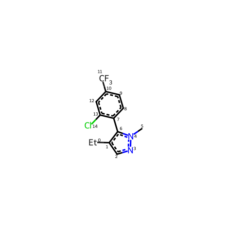 CCc1cnn(C)c1-c1ccc(C(F)(F)F)cc1Cl